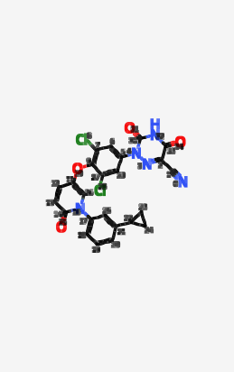 N#Cc1nn(-c2cc(Cl)c(Oc3ccc(=O)n(-c4cccc(C5CC5)c4)c3)c(Cl)c2)c(=O)[nH]c1=O